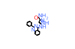 NC(=O)c1cc(Nc2nc(-c3ccccc3)nc3ccccc23)[nH]n1